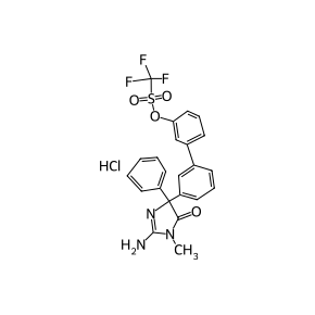 CN1C(=O)C(c2ccccc2)(c2cccc(-c3cccc(OS(=O)(=O)C(F)(F)F)c3)c2)N=C1N.Cl